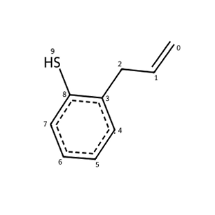 C=CCc1[c]cccc1S